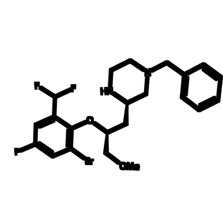 COC[C@H](C[C@@H]1CN(Cc2ccccc2)CCN1)Oc1c(Br)cc(F)cc1C(F)F